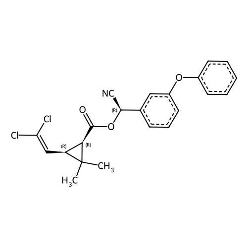 CC1(C)[C@H](C(=O)O[C@@H](C#N)c2cccc(Oc3ccccc3)c2)[C@@H]1C=C(Cl)Cl